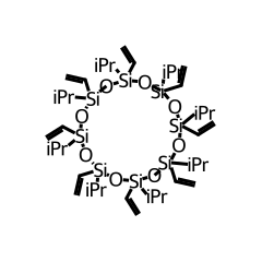 C=C[Si]1(C(C)C)O[Si](C=C)(C(C)C)O[Si](C=C)(C(C)C)O[Si](C=C)(C(C)C)O[Si](C=C)(C(C)C)O[Si](C=C)(C(C)C)O[Si](C=C)(C(C)C)O[Si](C=C)(C(C)C)O1